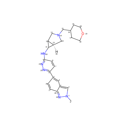 Cn1cc2cc(-c3ccc(NC4C5CN(CC6CCOCC6)C[C@H]54)nn3)ccc2n1